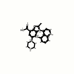 Cc1nc2c(C(=O)O)cc(N3CCOCC3)cc2n1-c1ccnc2cccc(F)c12